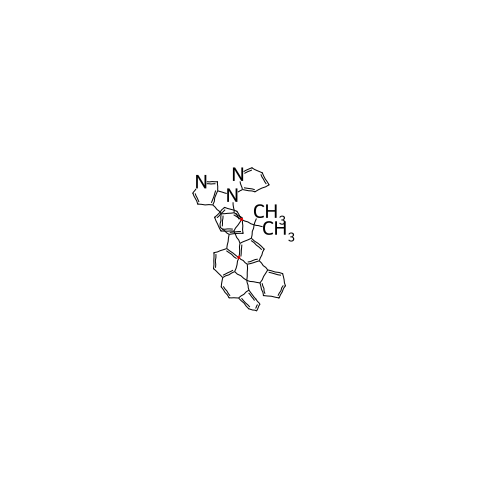 CC1(C)c2ccccc2-c2cc3c(cc21)-c1ccccc1C31c2ccccc2C=Cc2ccc(-c3ccc4c(c3)c3ccncc3n4-c3ccccn3)cc21